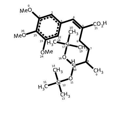 COc1cc(C=C(CCC(C)[SiH](O[Si](C)(C)C)O[Si](C)(C)C)C(=O)O)cc(OC)c1OC